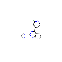 C[C@H]1CCN1c1nc2c(c(-c3ccnc(F)c3)n1)CCC2